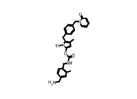 CCn1c(OC(=O)NCc2ccc(CN)cc2C)cc(C)c1Cc1ccc(Cn2ccccc2=O)cc1